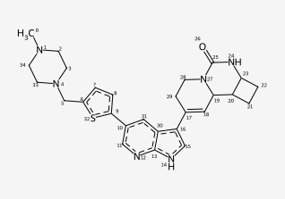 CN1CCN(Cc2ccc(-c3cnc4[nH]cc(C5=CC6C7CCC7NC(=O)N6CC5)c4c3)s2)CC1